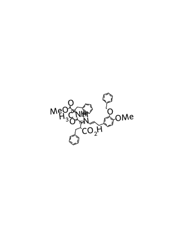 COC(=O)[C@](C)(Cc1ccccc1)NC(=O)[C@@H](NC=CCc1ccc(OC)c(OCc2ccccc2)c1)C(Cc1ccccc1)C(=O)O